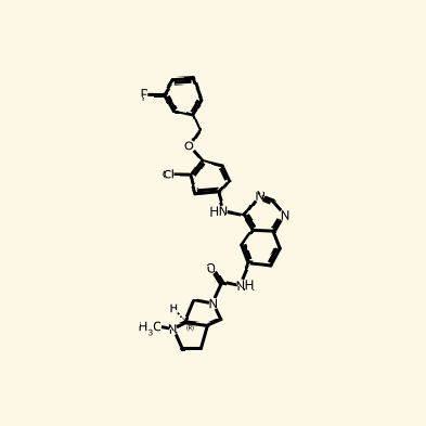 CN1CCC2CN(C(=O)Nc3ccc4ncnc(Nc5ccc(OCc6cccc(F)c6)c(Cl)c5)c4c3)C[C@@H]21